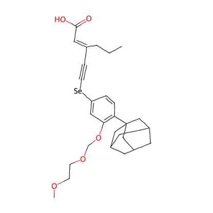 CCC/C(C#C[Se]c1ccc(C23CC4CC(CC(C4)C2)C3)c(OCOCCOC)c1)=C\C(=O)O